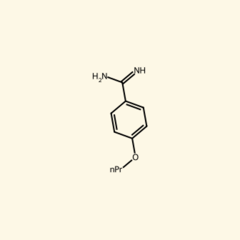 CCCOc1ccc(C(=N)N)cc1